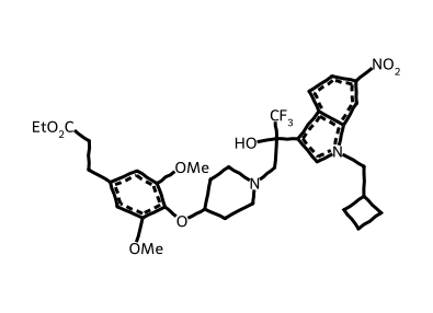 CCOC(=O)CCc1cc(OC)c(OC2CCN(CC(O)(c3cn(CC4CCC4)c4cc([N+](=O)[O-])ccc34)C(F)(F)F)CC2)c(OC)c1